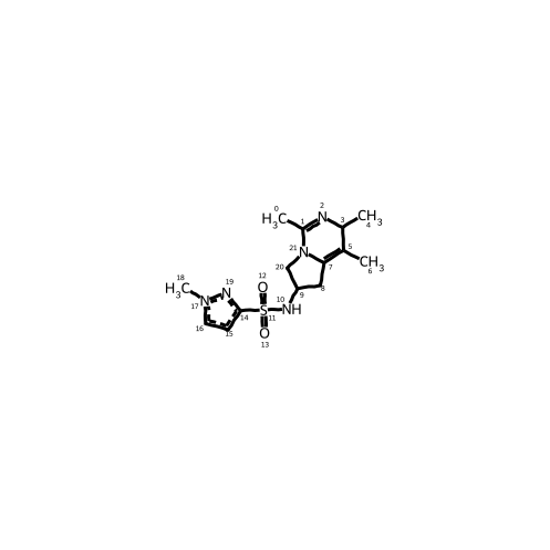 CC1=NC(C)C(C)=C2CC(NS(=O)(=O)c3ccn(C)n3)CN12